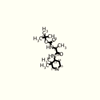 C[C@H](NC(=O)OC(C)(C)C)C(=O)NC1CC[N]CC1(C)C